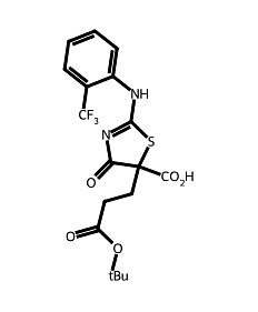 CC(C)(C)OC(=O)CCC1(C(=O)O)SC(Nc2ccccc2C(F)(F)F)=NC1=O